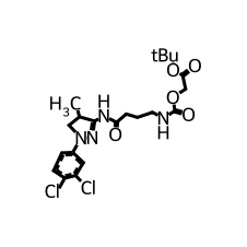 CC1CN(c2ccc(Cl)c(Cl)c2)N=C1NC(=O)CCCNC(=O)OCC(=O)OC(C)(C)C